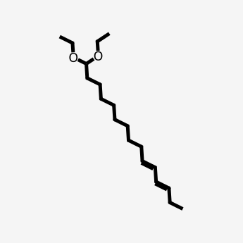 CCC=CC=CCCCCCCCCC(OCC)OCC